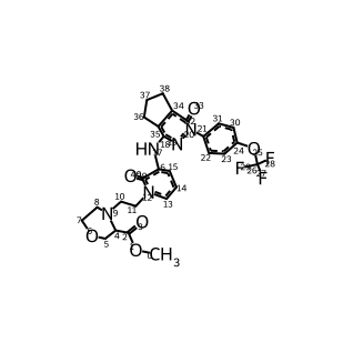 COC(=O)C1COCCN1CCn1cccc(Nc2nn(-c3ccc(OC(F)(F)F)cc3)c(=O)c3c2CCC3)c1=O